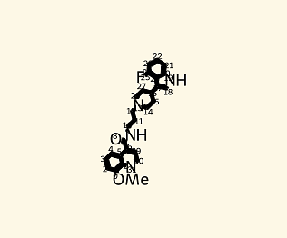 COc1cccc2c(C(=O)NCCCN3CCC(c4c[nH]c5cccc(F)c45)CC3)ccnc12